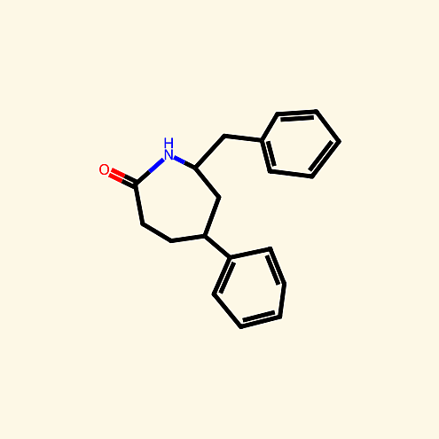 O=C1CCC(c2ccccc2)CC(Cc2ccccc2)N1